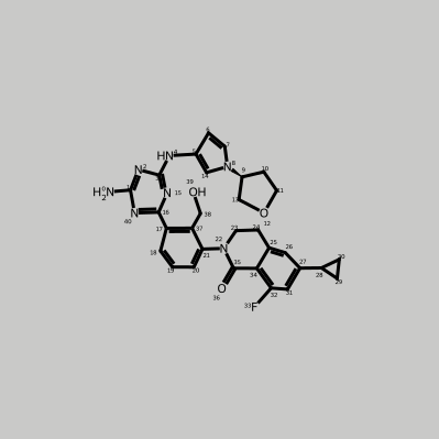 Nc1nc(Nc2ccn([C@H]3CCOC3)c2)nc(-c2cccc(N3CCc4cc(C5CC5)cc(F)c4C3=O)c2CO)n1